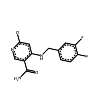 NC(=O)c1cnc(Cl)cc1NCc1ccc(F)c(F)c1